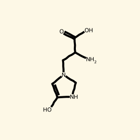 NC(CN1C=C(O)NC1)C(=O)O